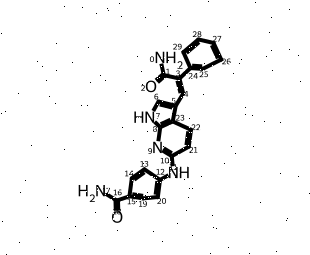 NC(=O)C(=Cc1c[nH]c2nc(Nc3ccc(C(N)=O)cc3)ccc12)c1ccccc1